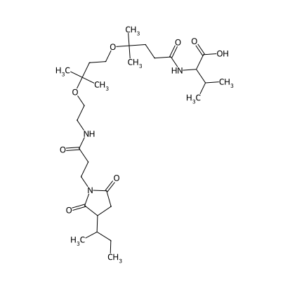 CCC(C)C1CC(=O)N(CCC(=O)NCCOC(C)(C)CCOC(C)(C)CCC(=O)NC(C(=O)O)C(C)C)C1=O